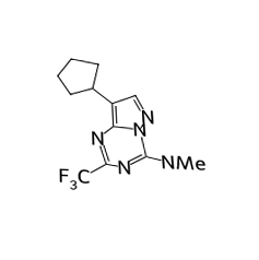 CNc1nc(C(F)(F)F)nc2c(C3CCCC3)cnn12